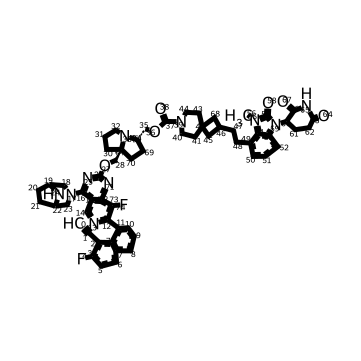 C#Cc1c(F)ccc2cccc(-c3ncc4c(N5CC6CCC(C5)N6)nc(OC[C@@]56CCCN5[C@H](COC(=O)N5CCC7(CC5)CC(CCc5cccc8c5n(C)c(=O)n8C5CCC(=O)NC5=O)C7)CC6)nc4c3F)c12